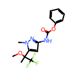 COC(C)(c1cc(NC(=O)Oc2ccccc2)nn1C)C(F)(F)F